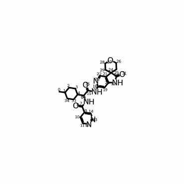 CC1CCC([C@H](NC(=O)c2ccnnc2)C(=O)Nc2cc3c(cn2)C2(CCOCC2)C(=O)N3)CC1